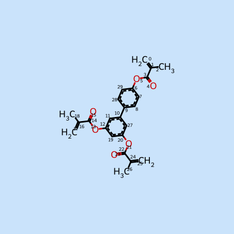 C=C(C)C(=O)Oc1ccc(-c2cc(OC(=O)C(=C)C)cc(OC(=O)C(=C)C)c2)cc1